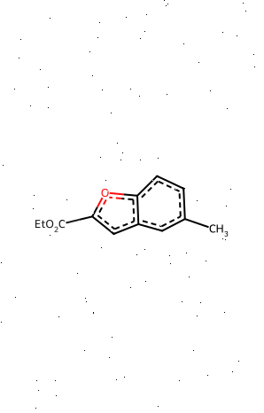 CCOC(=O)c1cc2cc(C)ccc2o1